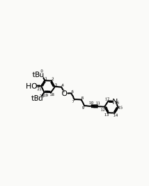 CC(C)(C)c1cc(COCCCCC#Cc2cccnc2)cc(C(C)(C)C)c1O